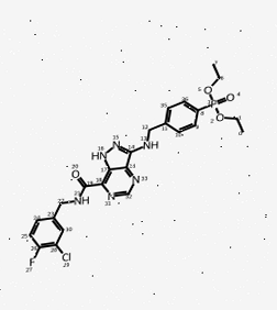 CCOP(=O)(OCC)c1ccc(CNc2n[nH]c3c(C(=O)NCc4ccc(F)c(Cl)c4)ncnc23)cc1